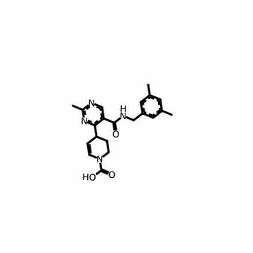 Cc1cc(C)cc(CNC(=O)c2cnc(C)nc2C2C=CN(C(=O)O)CC2)c1